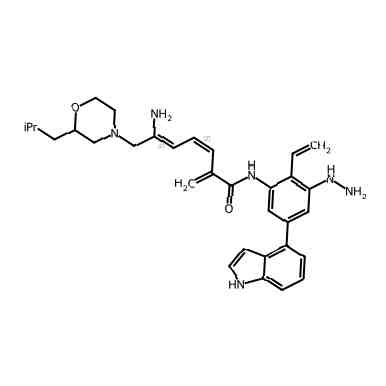 C=Cc1c(NN)cc(-c2cccc3[nH]ccc23)cc1NC(=O)C(=C)/C=C\C=C(/N)CN1CCOC(CC(C)C)C1